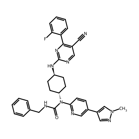 Cn1cc(-c2ccc(N(C(=O)NCc3ccccc3)[C@H]3CC[C@H](Nc4ncc(C#N)c(-c5ccccc5F)n4)CC3)nc2)cn1